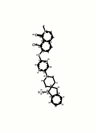 Cn1ccc2ccc(Sc3cnc(N4CCC5(CC4)Cc4ccccc4[C@H]5N)cn3)c(Cl)c2c1=O